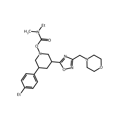 CCc1ccc(C2CC(c3nc(CN4CCOCC4)no3)CN(OC(=O)N(C)CC)C2)cc1